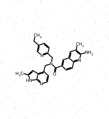 CCc1ccc(CN(Cc2ccnc3[nH]c(C)cc23)C(=O)c2ccc3nc(N)c(C)cc3c2)nc1